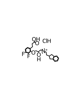 C[N+](C)(CCC1Cc2ccccc2C1)C[C@@H](O)COc1c(CCC(=O)O)ccc(F)c1F.Cl